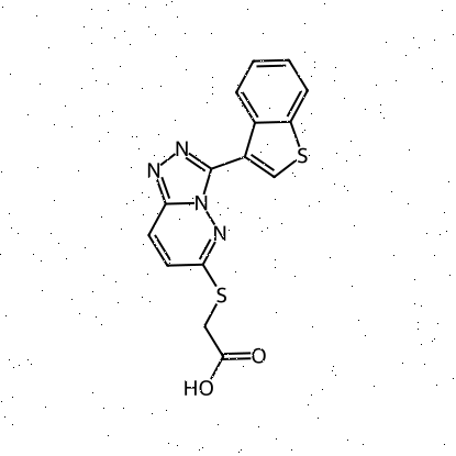 O=C(O)CSc1ccc2nnc(-c3csc4ccccc34)n2n1